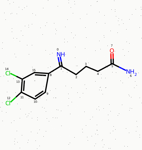 N=C(CCCC(N)=O)c1ccc(Cl)c(Cl)c1